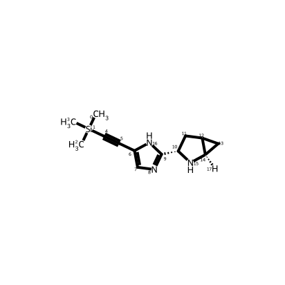 C[Si](C)(C)C#Cc1cnc([C@@H]2CC3C[C@H]3N2)[nH]1